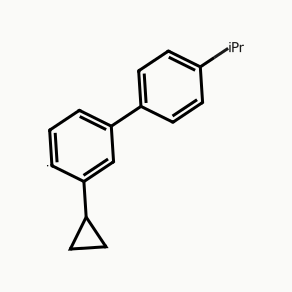 CC(C)c1ccc(-c2cc[c]c(C3CC3)c2)cc1